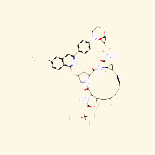 COc1ccc2c(OC3C[C@H]4C(=O)N[C@]5(C(=O)NS(=O)(=O)C6CC6)CC5/C=C\CC[C@H](C)C[C@@H](C)[C@H](NC(=O)OC(C)(C)C(F)(F)F)C(=O)N4C3)nc(-c3ccc(N4CCOCC4)cc3)cc2c1